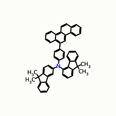 CC1(C)c2ccccc2-c2cc(N(c3ccc(-c4cc5c6ccccc6ccc5c5ccccc45)cc3)c3cccc4c3-c3ccccc3C4(C)C)ccc21